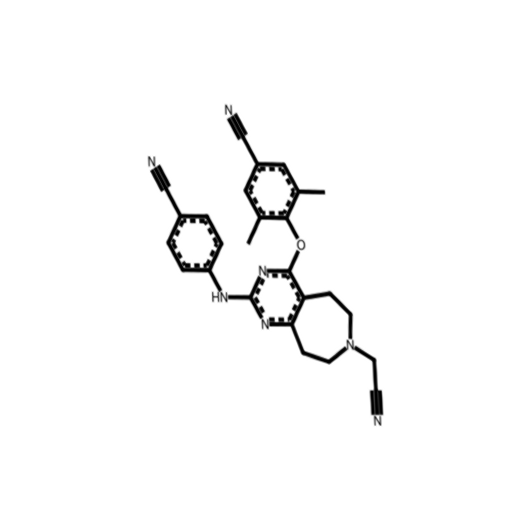 Cc1cc(C#N)cc(C)c1Oc1nc(Nc2ccc(C#N)cc2)nc2c1CCN(CC#N)CC2